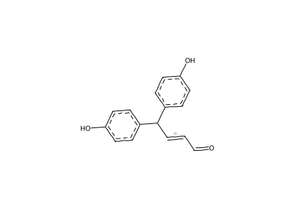 O=C/C=C/C(c1ccc(O)cc1)c1ccc(O)cc1